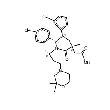 C[C@@H](CCN1CCOC(C)(C)C1)N1C(=O)[C@@](C)(CC(=O)O)C[C@H](c2cccc(Cl)c2)[C@H]1c1ccc(Cl)cc1